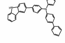 c1ccc(-c2ccc(N(c3ccccc3)c3ccc(-c4ccc5[nH]c6ccccc6c5c4)cc3)cc2)cc1